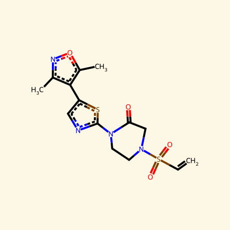 C=CS(=O)(=O)N1CCN(c2ncc(-c3c(C)noc3C)s2)C(=O)C1